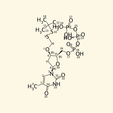 Cc1cn([C@H]2C[C@@H](OCSSC(C)(C)C)[C@@H](COP(=O)(O)OP(=O)(O)OP(=O)(O)O)O2)c(=O)[nH]c1=O